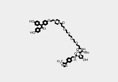 CCC(=C(c1ccc(O)cc1)c1ccc(OCCN2CCN(C(=O)CCOCCOCCOCCOCCC(=O)N[C@H](C(=O)N3C[C@H](O)C[C@H]3C(=O)NCc3ccc(-c4scnc4C)cc3)C(C)(C)C)CC2)cc1)c1ccc(O)cc1